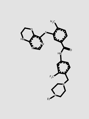 CCN1CCN(Cc2ccc(NC(=O)c3ccc(C)c(Sc4ncnc5c4OCCN5)c3)cc2C(F)(F)F)CC1